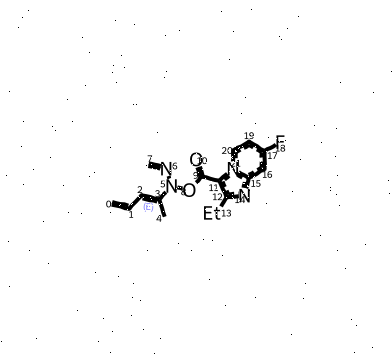 C=C/C=C(\C)N(N=C)OC(=O)c1c(CC)nc2cc(F)ccn12